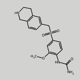 COc1cc(S(=O)(=O)Cc2ccc3c(c2)CCNC3)ccc1NC(N)=O